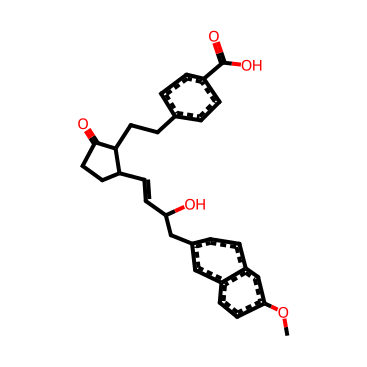 COc1ccc2cc(CC(O)C=CC3CCC(=O)C3CCc3ccc(C(=O)O)cc3)ccc2c1